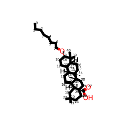 CCCCCCCCO[C@H]1CC[C@]2(C)[C@H]3CC=C4[C@@H]5CC(C)(C)CC[C@]5(C(=O)O)CC[C@@]4(C)[C@]3(C)CC[C@H]2C1(C)C